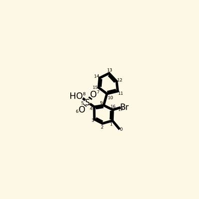 Cc1ccc(S(=O)(=O)O)c(-c2ccccc2)c1Br